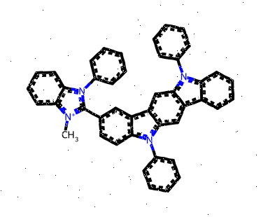 C[n+]1c(-c2ccc3c(c2)c2cc4c(cc2n3-c2ccccc2)c2ccccc2n4-c2ccccc2)n(-c2ccccc2)c2ccccc21